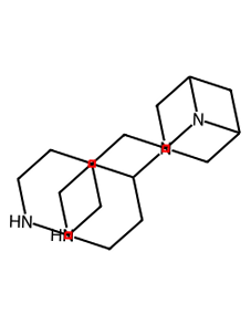 C1CC(CCN2C3CC2CN(C2CCNCC2)C3)CCN1